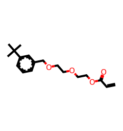 C=CC(=O)OCCOCCOCc1cccc(C(C)(C)C)c1